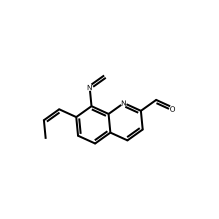 C=Nc1c(/C=C\C)ccc2ccc(C=O)nc12